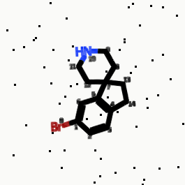 Brc1ccc2c(c1)C1(CCNCC1)CC2